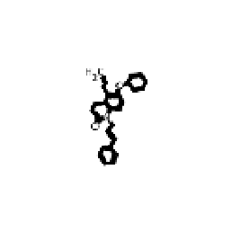 C=CCc1c(OC2C=CCCC2)ccc2c1CCC(=O)N2CC=Cc1ccccc1